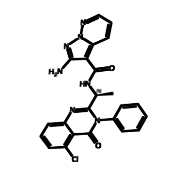 C[C@H](NC(=O)c1c(N)nn2ncccc12)c1nc2cccc(Cl)c2c(=O)n1-c1ccccc1